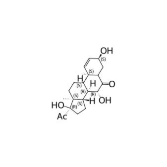 CC(=O)[C@@]1(O)CC[C@H]2[C@@H]3[C@@H](O)C(=O)C4C[C@H](O)C=C[C@]4(C)[C@H]3CC[C@@]21C